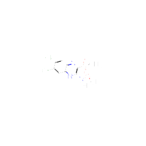 CON(C)c1nc2cc(Cl)c(Cl)cc2nc1S(C)(=O)=O